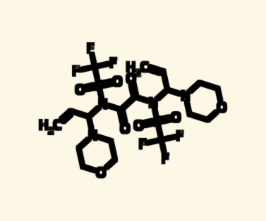 C=CC(N1CCOCC1)N(C(=O)C(=O)N(C(C=C)N1CCOCC1)S(=O)(=O)C(F)(F)F)S(=O)(=O)C(F)(F)F